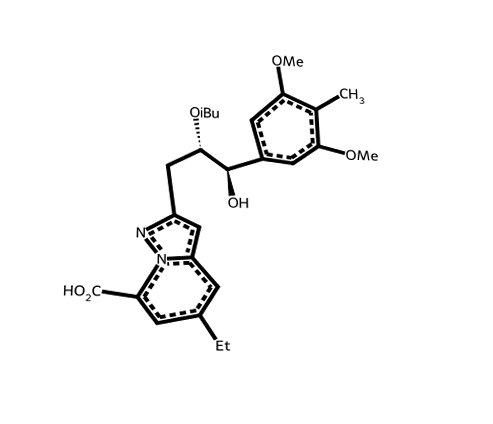 CCc1cc(C(=O)O)n2nc(C[C@H](OCC(C)C)[C@H](O)c3cc(OC)c(C)c(OC)c3)cc2c1